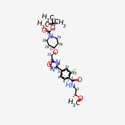 COCCNC(=O)c1ccc(-c2noc(COC3CCN(C(=O)OC(C)(C)C)CC3)n2)cc1F